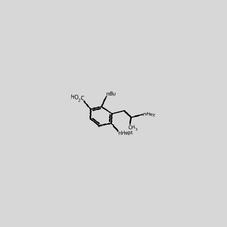 CCCCCCCc1ccc(C(=O)O)c(CCCC)c1CC(C)CCCCCC